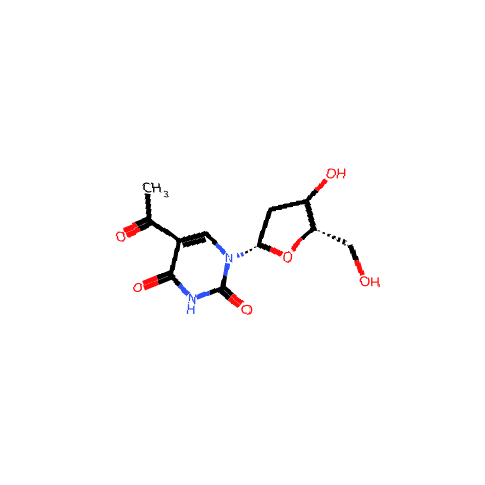 CC(=O)c1cn([C@@H]2CC(O)[C@H](CO)O2)c(=O)[nH]c1=O